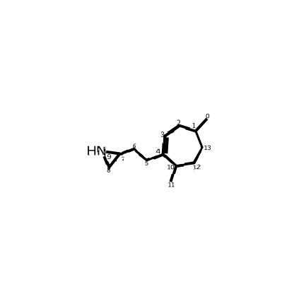 CC1CC=C(CCC2CN2)C(C)CC1